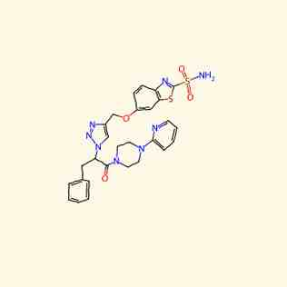 NS(=O)(=O)c1nc2ccc(OCc3cn(C(Cc4ccccc4)C(=O)N4CCN(c5ccccn5)CC4)nn3)cc2s1